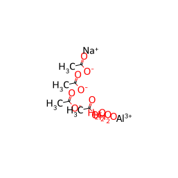 CC(=O)[O-].CC(=O)[O-].CC(=O)[O-].CC(=O)[O-].O.O.O.[Al+3].[Na+]